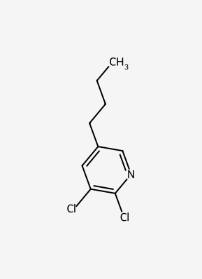 CCCCc1cnc(Cl)c(Cl)c1